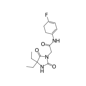 CCC1(CC)NC(=O)N(CC(=O)NC2=CC=C(F)CC2)C1=O